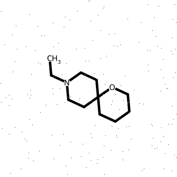 CCN1CCC2(CCCCO2)CC1